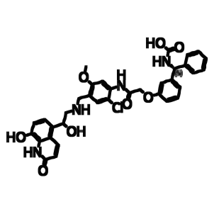 COc1cc(NC(=O)COc2cccc([C@@H](NC(=O)O)c3ccccc3)c2)c(Cl)cc1CNCC(O)c1ccc(O)c2[nH]c(=O)ccc12